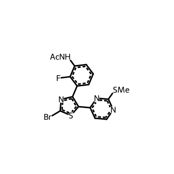 CSc1nccc(-c2sc(Br)nc2-c2cccc(NC(C)=O)c2F)n1